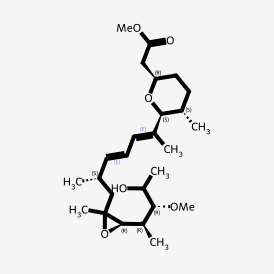 COC(=O)C[C@H]1CC[C@H](C)[C@@H](/C(C)=C/C=C/[C@@H](C)CC2(C)O[C@@H]2[C@H](C)[C@@H](OC)C(C)O)O1